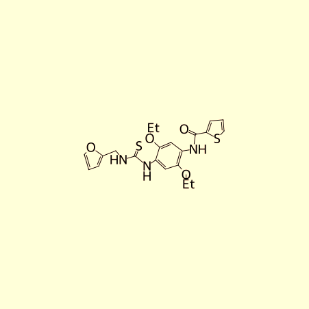 CCOc1cc(NC(=S)NCc2ccco2)c(OCC)cc1NC(=O)c1cccs1